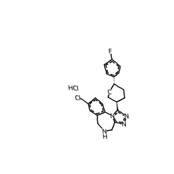 Cl.Fc1ccc([C@H]2CC[C@H](c3nnc4n3-c3ccc(Cl)cc3CNC4)CC2)cc1